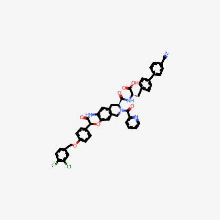 N#Cc1ccc(-c2ccc(C[C@H](NC(=O)[C@@H]3Cc4cc5c(cc4CN3C(=O)c3ccccn3)OC(c3ccc(OCc4ccc(Cl)c(Cl)c4)cc3)C(=O)N5)C(=O)O)cc2)cc1